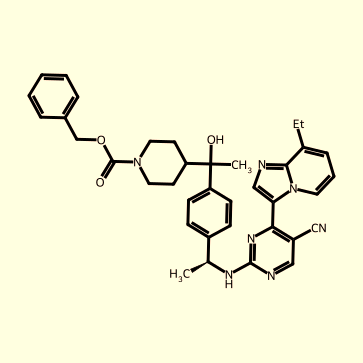 CCc1cccn2c(-c3nc(N[C@@H](C)c4ccc(C(C)(O)C5CCN(C(=O)OCc6ccccc6)CC5)cc4)ncc3C#N)cnc12